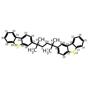 CC(C)(CCC(C)(C)c1ccc2sc3ccccc3c2c1)c1ccc2c(c1)sc1ccccc12